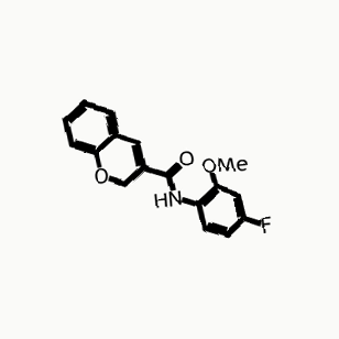 COc1cc(F)ccc1NC(=O)C1=Cc2ccccc2OC1